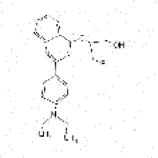 CCN(CC)c1ccc(-c2cc(OC(CO)CF)c3ccccc3n2)cc1